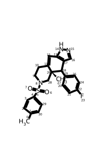 Cc1ccc(S(=O)(=O)N2CCC3=Cc4[nH]ncc4C(c4ccc(F)cc4)[C@]3(C)C2)cc1